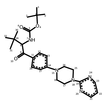 CC(C)(C)OC(=O)NC(C(=O)c1ccc(N2CCN(c3ncccn3)CC2)cc1)C(C)(C)C